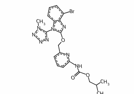 CC(C)COC(=O)Nc1cccc(COc2nc3c(Br)cccc3n2-c2nnnn2C)n1